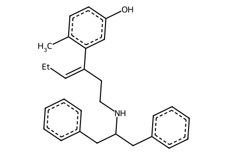 CC/C=C(/CCNC(Cc1ccccc1)Cc1ccccc1)c1cc(O)ccc1C